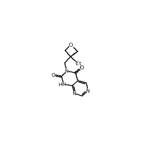 CCC1(Cn2c(=O)[nH]c3ncncc3c2=O)COC1